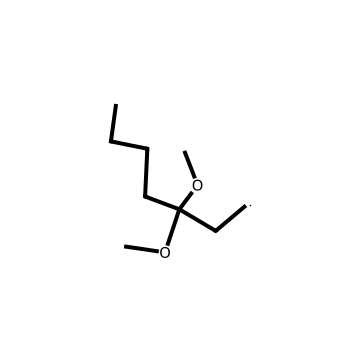 [CH2]CC(CCCC)(OC)OC